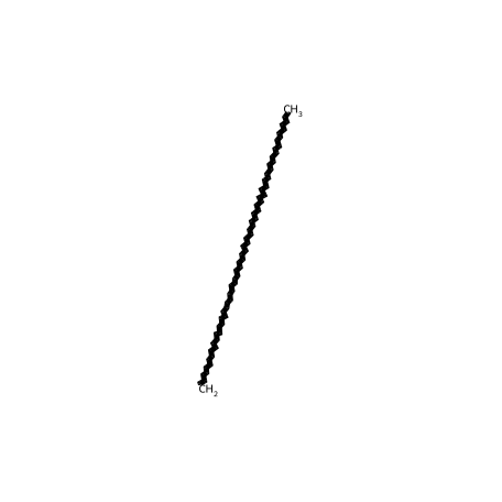 C=CCCCCCCCCCCCCCCCCCCCCCCCCCCCCCCCCCCCCCCCCCCCCCCCCCCCCCCCCCCCCCCCCCCCC